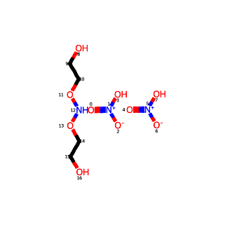 O=[N+]([O-])O.O=[N+]([O-])O.OCCONOCCO